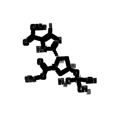 COC(=O)c1[nH]c([C@@H]2C[C@@H](O[Si](C)(C)C(C)(C)C)CN2C(=O)OC(C)(C)C)nc1I